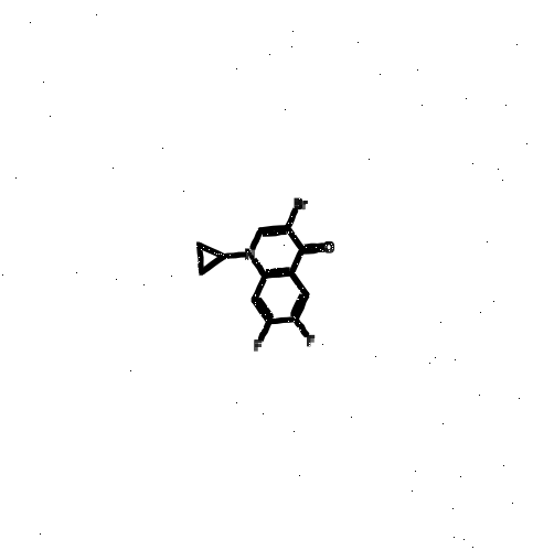 O=c1c(Br)cn(C2CC2)c2cc(F)c(F)cc12